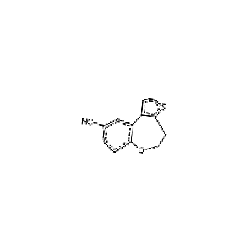 N#Cc1ccc2c(c1)-c1ccsc1CCO2